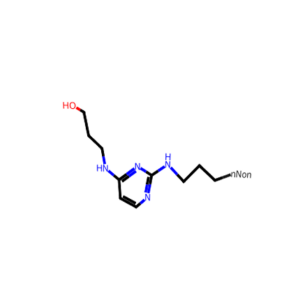 CCCCCCCCCCCCNc1nccc(NCCCO)n1